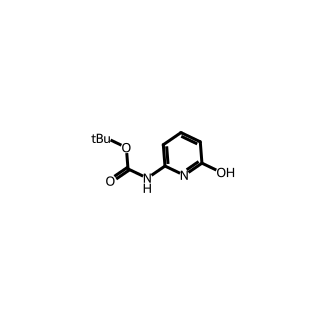 CC(C)(C)OC(=O)Nc1cccc(O)n1